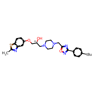 Cc1nc2cc(OC[C@@H](O)CN3CCN(Cc4nc(-c5ccc(C(C)(C)C)cc5)no4)CC3)ccc2s1